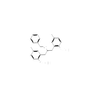 Cc1ccc(S(=O)(=O)O)c(CC(Cc2cc(C)ccc2S(=O)(=O)O)OCc2ccccc2)c1